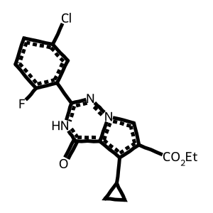 CCOC(=O)c1cn2nc(-c3cc(Cl)ccc3F)[nH]c(=O)c2c1C1CC1